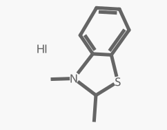 CC1Sc2ccccc2N1C.I